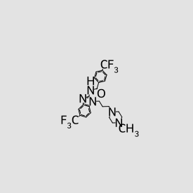 CN1CCN(CCCn2c(NC(=O)c3ccc(C(F)(F)F)cc3)nc3cc(C(F)(F)F)ccc32)CC1